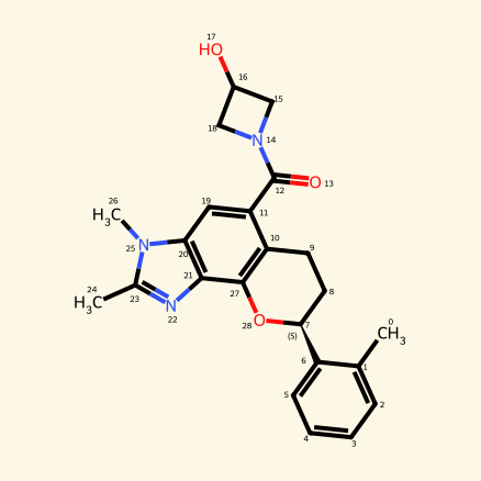 Cc1ccccc1[C@@H]1CCc2c(C(=O)N3CC(O)C3)cc3c(nc(C)n3C)c2O1